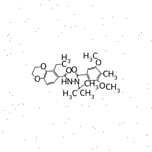 CCc1c(C(=O)NN(C(=O)c2cc(OC)c(C)c(OC)c2)C(C)(C)C)ccc2c1OCCO2